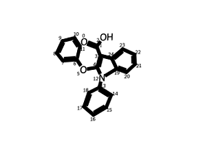 O=C(O)c1c(Oc2ccccc2)n(-c2ccccc2)c2ccccc12